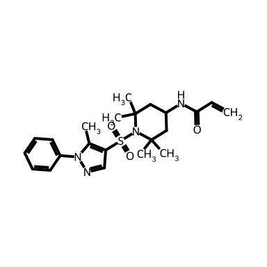 C=CC(=O)NC1CC(C)(C)N(S(=O)(=O)c2cnn(-c3ccccc3)c2C)C(C)(C)C1